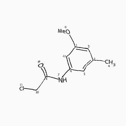 COc1cc(C)cc(NC(=O)CCl)c1